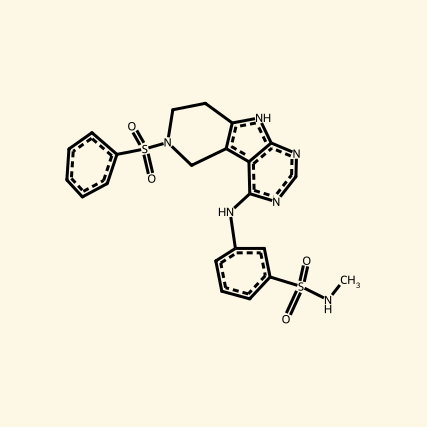 CNS(=O)(=O)c1cccc(Nc2ncnc3[nH]c4c(c23)CN(S(=O)(=O)c2ccccc2)CC4)c1